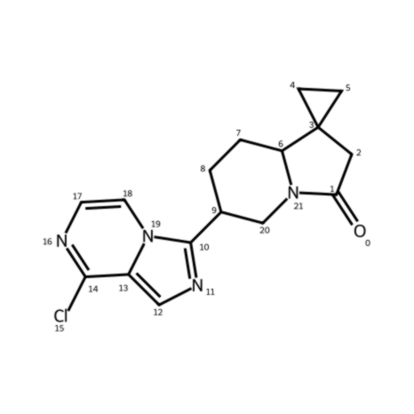 O=C1CC2(CC2)C2CCC(c3ncc4c(Cl)nccn34)CN12